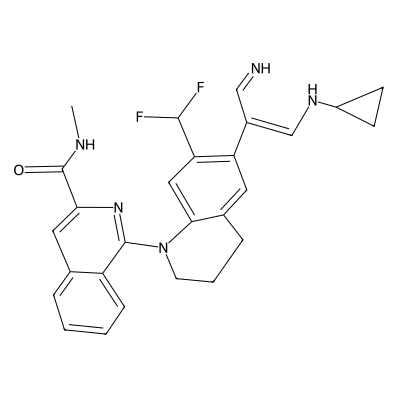 CNC(=O)c1cc2ccccc2c(N2CCCc3cc(/C(C=N)=C/NC4CC4)c(C(F)F)cc32)n1